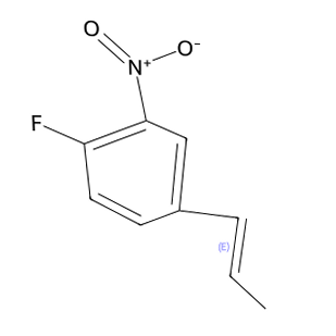 C/C=C/c1ccc(F)c([N+](=O)[O-])c1